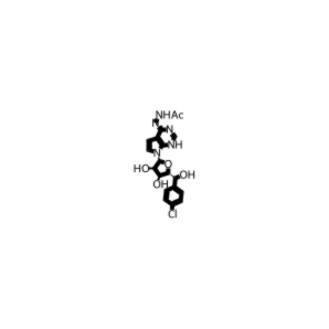 CC(=O)NN=c1nc[nH]c2c1ccn2[C@@H]1O[C@H](C(O)c2ccc(Cl)cc2)[C@@H](O)[C@H]1O